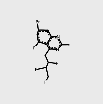 Cc1nc(CC(F)C(F)CF)c2c(F)cc(Br)cc2n1